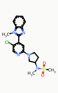 CN(C1CCN(c2cc(-c3nc4ccccc4n3C)c(Cl)cn2)C1)S(C)(=O)=O